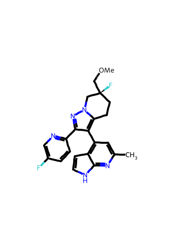 COC[C@]1(F)CCc2c(-c3cc(C)nc4[nH]ccc34)c(-c3ccc(F)cn3)nn2C1